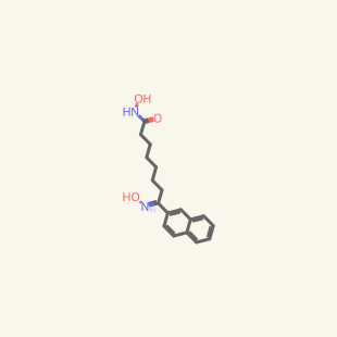 O=C(CCCCCC/C(=N\O)c1ccc2ccccc2c1)NO